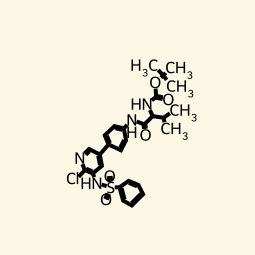 CC(C)C(NC(=O)OC(C)(C)C)C(=O)Nc1ccc(-c2cnc(Cl)c(NS(=O)(=O)c3ccccc3)c2)cc1